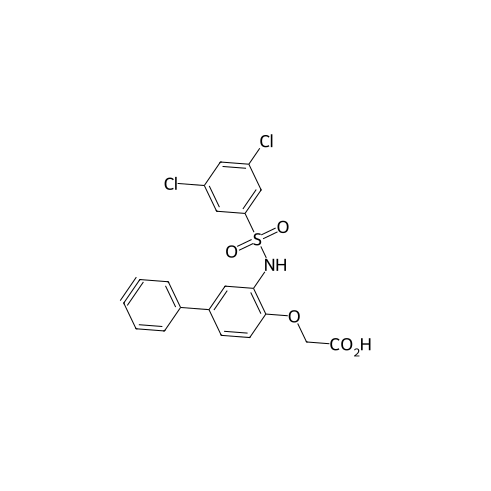 O=C(O)COc1ccc(-c2cc#ccc2)cc1NS(=O)(=O)c1cc(Cl)cc(Cl)c1